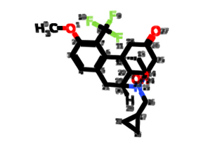 COc1ccc2c(c1C(F)(F)F)[C@]13CCN(CC4CC4)[C@H](C2)[C@]1(O)CCC(=O)C3